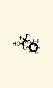 I.O=C(O)C(F)(F)F.c1ccccc1